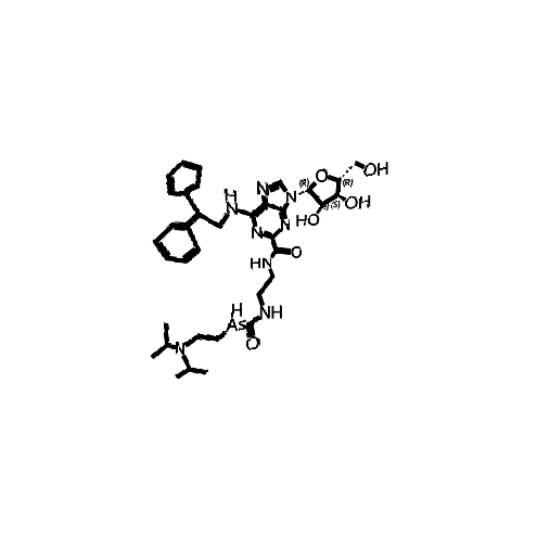 CC(C)N(CC[AsH]C(=O)NCCNC(=O)c1nc(NCC(c2ccccc2)c2ccccc2)c2ncn([C@@H]3O[C@H](CO)[C@@H](O)[C@H]3O)c2n1)C(C)C